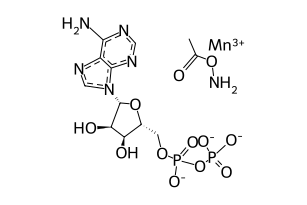 CC(=O)ON.Nc1ncnc2c1ncn2[C@@H]1O[C@H](COP(=O)([O-])OP(=O)([O-])[O-])[C@@H](O)[C@H]1O.[Mn+3]